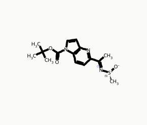 C/C(=N\[S@@+](C)[O-])c1ccc2c(ccn2C(=O)OC(C)(C)C)n1